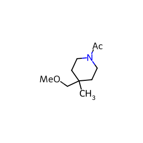 COCC1(C)CCN(C(C)=O)CC1